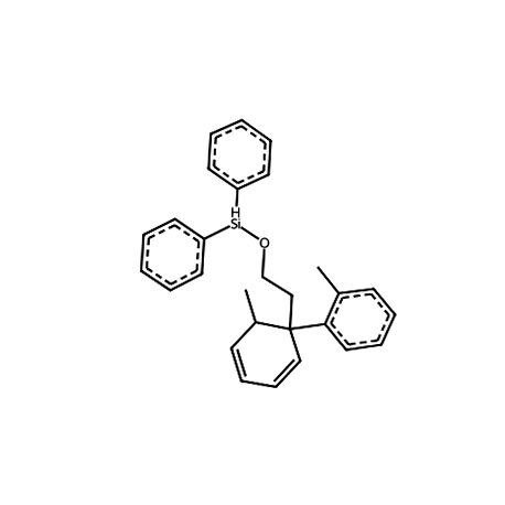 Cc1ccccc1C1(CCO[SiH](c2ccccc2)c2ccccc2)C=CC=CC1C